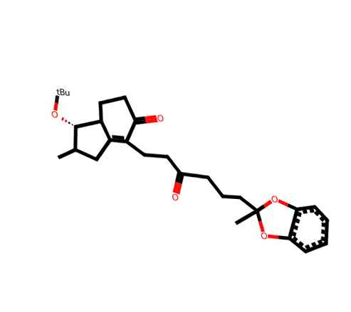 CC1CC2=C(CCC(=O)CCCC3(C)Oc4ccccc4O3)C(=O)CCC2[C@H]1OC(C)(C)C